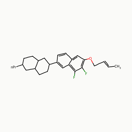 C/C=C/COc1cc2ccc(C3CCC4CC(CCC)CCC4C3)cc2c(F)c1F